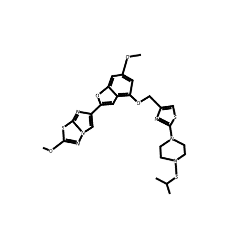 COc1cc(OCc2csc(N3CCN(SC(C)C)CC3)n2)c2cc(-c3cn4nc(OC)sc4n3)oc2c1